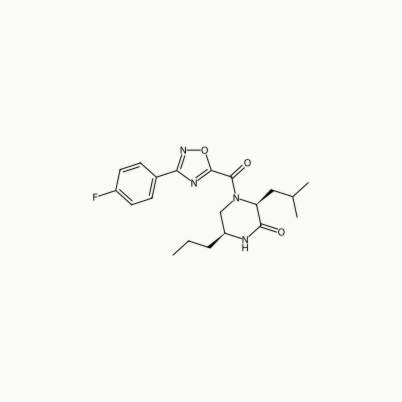 CCC[C@H]1CN(C(=O)c2nc(-c3ccc(F)cc3)no2)[C@@H](CC(C)C)C(=O)N1